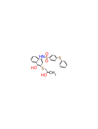 C=C(O)CSc1cc(NS(=O)(=O)c2ccc(Sc3ccccc3)cc2)c2ccccc2c1O